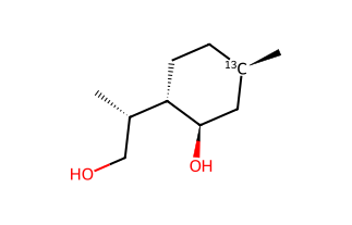 C[C@@H](CO)[C@@H]1CC[13C@@H](C)C[C@H]1O